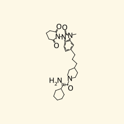 Cn1c(=O)n(N2C(=O)CCCC2=O)c2ccc(CCCC3CCN(C(=O)[C@@H](N)C4CCCCC4)CC3)cc21